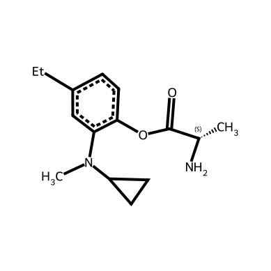 CCc1ccc(OC(=O)[C@H](C)N)c(N(C)C2CC2)c1